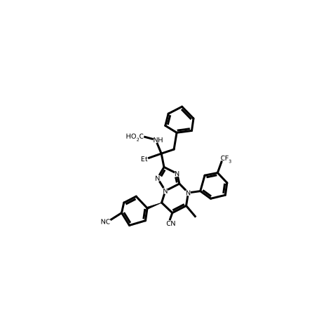 CCC(Cc1ccccc1)(NC(=O)O)c1nc2n(n1)[C@H](c1ccc(C#N)cc1)C(C#N)=C(C)N2c1cccc(C(F)(F)F)c1